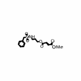 COC(=O)/C=C/C(=O)OCCCNS(=O)(=O)Cc1ccccc1